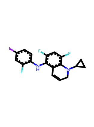 Fc1cc(I)ccc1Nc1c(F)cc(F)c2c1C=CCN2C1CC1